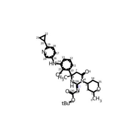 CC1CC(N2C(=O)C[C@@](C)(c3cccc(Nc4ccc(C5CC5)nc4)c3Cl)N/C2=N\C(=O)OC(C)(C)C)CCO1